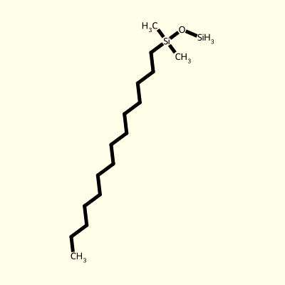 CCCCCCCCCCCCCC[Si](C)(C)O[SiH3]